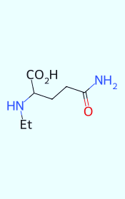 CCNC(CCC(N)=O)C(=O)O